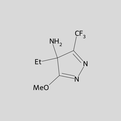 CCC1(N)C(OC)=NN=C1C(F)(F)F